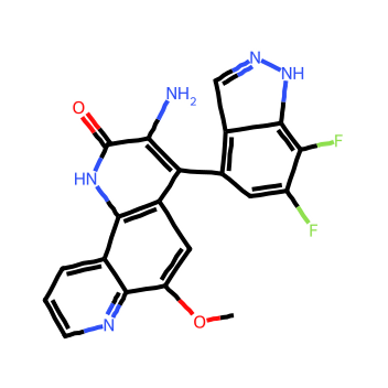 COc1cc2c(-c3cc(F)c(F)c4[nH]ncc34)c(N)c(=O)[nH]c2c2cccnc12